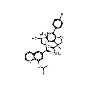 C[C@]1(C(N)=O)COc2c1cc([C@@](O)(CNC(=O)c1cc(OC(F)F)c3ncccc3c1)C(F)(F)F)nc2-c1ccc(F)cc1